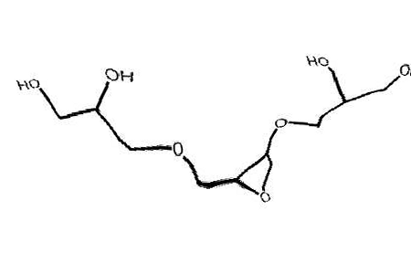 OCC(O)COCC1OC1OCC(O)CO